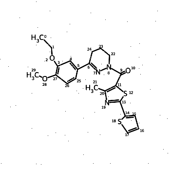 CCOc1cc(C2=NN(C(=O)c3sc(-c4cccs4)nc3C)CCC2)ccc1OC